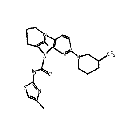 CC1=C2CCCN1c1ccc(N3CCCC(C(F)(F)F)C3)nc1N2C(=O)Nc1nc(C)cs1